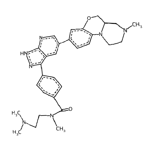 CN(C)CCN(C)C(=O)c1ccc(-c2n[nH]c3ncc(-c4ccc5c(c4)OCC4CN(C)CCN54)cc23)cc1